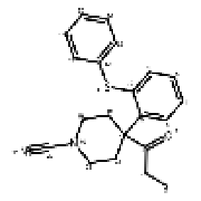 CCC(=O)C1(c2ccccc2Sc2ccccc2)CCN(C#N)CC1